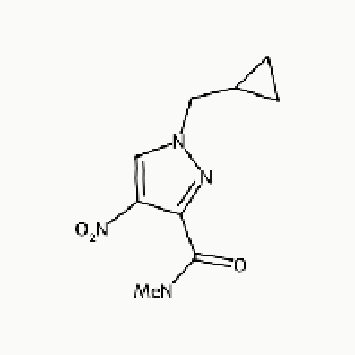 CNC(=O)c1nn(CC2CC2)cc1[N+](=O)[O-]